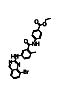 CCOC(=O)c1ccc(NC(=O)c2cc(Nc3ncc4cccc(Br)c4n3)ccc2C)cc1